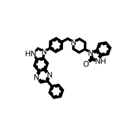 O=c1[nH]c2ccccc2n1C1CCN(Cc2ccc(N3CNc4cc5ncc(-c6ccccc6)nc5cc43)cc2)CC1